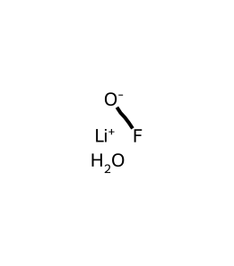 O.[Li+].[O-]F